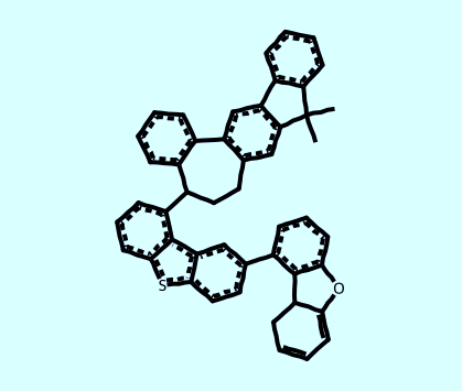 CC1(C)c2ccccc2-c2cc3c(cc21)CCC(c1cccc2sc4ccc(-c5cccc6c5C5CC=CC=C5O6)cc4c12)c1ccccc1-3